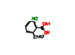 Cl.O=Cc1ccccc1B(O)O